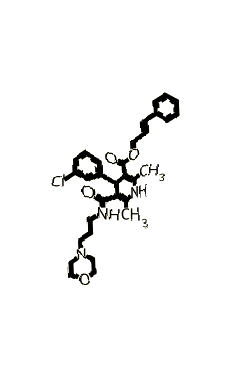 CC1=C(C(=O)NCCCN2CCOCC2)C(c2cccc(Cl)c2)C(C(=O)OC/C=C/c2ccccc2)=C(C)N1